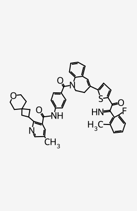 Cc1cnc(C2CC3(CCOCC3)C2)c(C(=O)Nc2ccc(C(=O)N3CCC(c4ccc(C(=O)C(=N)c5c(C)cccc5F)s4)=Cc4ccccc43)cc2)c1